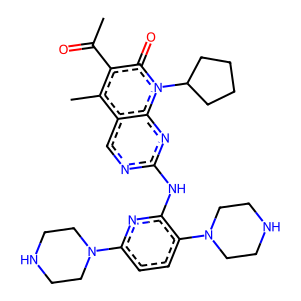 CC(=O)c1c(C)c2cnc(Nc3nc(N4CCNCC4)ccc3N3CCNCC3)nc2n(C2CCCC2)c1=O